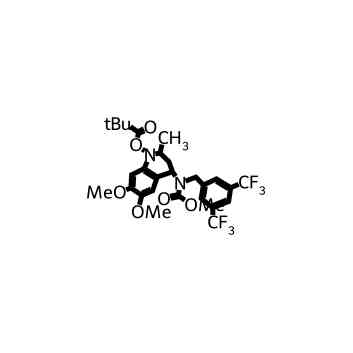 COC(=O)N(Cc1cc(C(F)(F)F)cc(C(F)(F)F)c1)C1CC(C)N(OC(=O)C(C)(C)C)c2cc(OC)c(OC)cc21